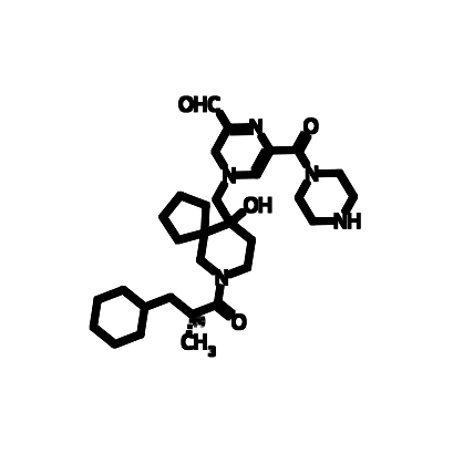 C[C@H](CC1CCCCC1)C(=O)N1CCC(O)(CN2C=C(C(=O)N3CCNCC3)N=C(C=O)C2)C2(CCCC2)C1